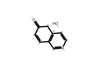 Cl.O=C1C=Cc2cnccc2C1